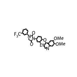 CCc1cc(N2C(=O)CN(c3cccc(C(F)(F)F)c3)C2=O)ccc1Oc1ccnc2cc(OC)c(OC)cc12